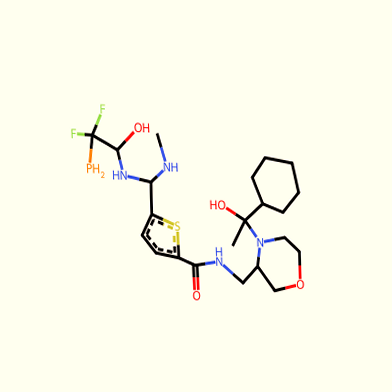 CNC(NC(O)C(F)(F)P)c1ccc(C(=O)NCC2COCCN2C(C)(O)C2CCCCC2)s1